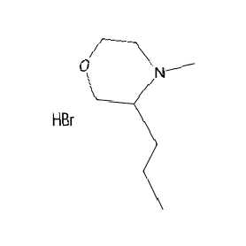 Br.CCCC1COCCN1C